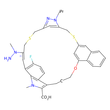 CC(C)n1nc2cc1CSc1cc(c3ccccc3c1)OCCCc1c(C(=O)O)n(C)c3c(c(F)ccc13)/C=C(/N(C)N)CSC2